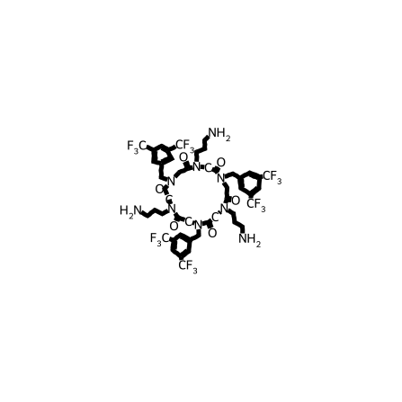 NCCCN1CC(=O)N(Cc2cc(C(F)(F)F)cc(C(F)(F)F)c2)CC(=O)N(CCCN)CC(=O)N(Cc2cc(C(F)(F)F)cc(C(F)(F)F)c2)CC(=O)N(CCCN)CC(=O)N(Cc2cc(C(F)(F)F)cc(C(F)(F)F)c2)CC1=O